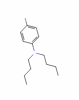 CCCCN(CCCC)c1ccc(P)cc1.Cl